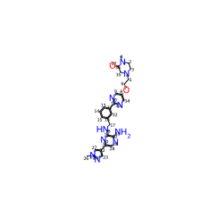 CN1CCN(CCOc2cnc(-c3cccc(CNc4nc(-c5cnn(C)c5)cnc4N)c3)nc2)CC1=O